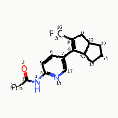 CC(C)C(=O)Nc1ccc(C2=C(C(F)(F)F)CC3CCCC23)cn1